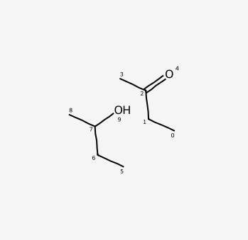 CCC(C)=O.CCC(C)O